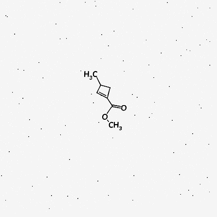 COC(=O)C1=CC(C)C1